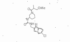 COCC(C)C(=O)N1CCCC(N(C)C(=O)NCc2cc3cc(Cl)ccc3[nH]2)C1